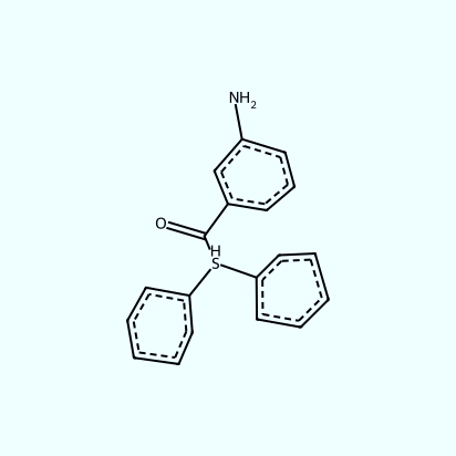 Nc1cccc(C(=O)[SH](c2ccccc2)c2ccccc2)c1